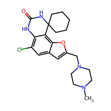 CN1CCN(Cc2cc3cc(Cl)c4c(c3o2)C2(CCCCC2)NC(=O)N4)CC1